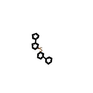 c1ccc(-c2cccc(Sc3cccc(-c4ccccc4)c3)c2)cc1